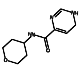 O=C(NC1CCOCC1)C1=CCNC=N1